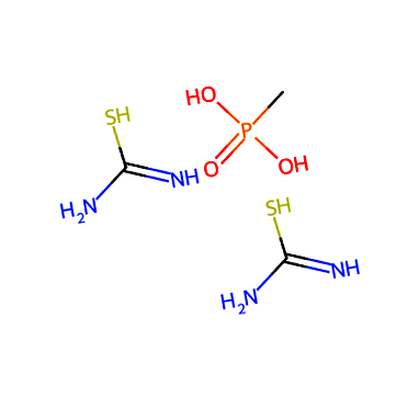 CP(=O)(O)O.N=C(N)S.N=C(N)S